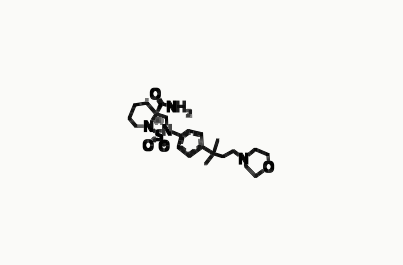 CC(C)(CCN1CCOCC1)c1ccc(N2C[C@@]3(C(N)=O)[CH]CCCN3S2(=O)=O)cc1